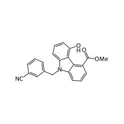 COC(=O)c1cccc2c1c1c(O)cccc1n2Cc1cccc(C#N)c1